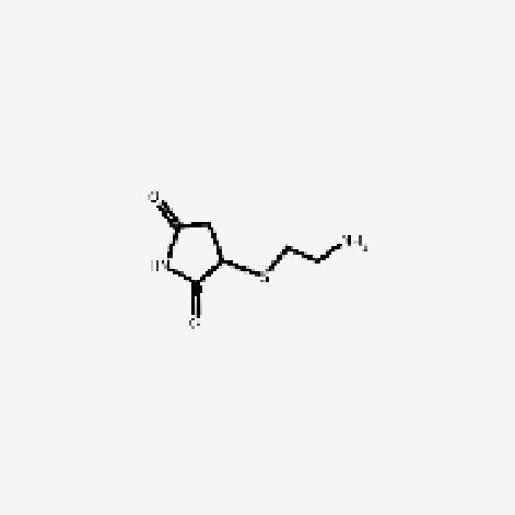 NCCSC1CC(=O)NC1=O